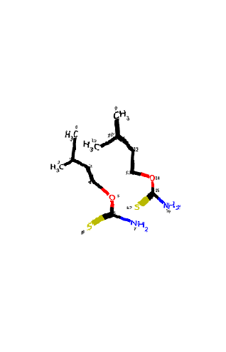 CC(C)CCOC(N)=S.CC(C)CCOC(N)=S